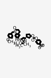 COc1ccc(CN2C(=O)CCc3cc(Nc4cc([C@H]5CC[C@@H](OC(=O)Oc6ccc([N+](=O)[O-])cc6)C5)nn4C(C)(C)C)ccc32)cc1